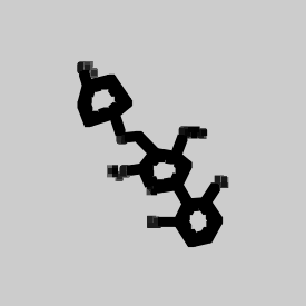 CCc1cccc(CC)c1-c1cc(OC)c(COc2ccc(C(F)(F)F)cc2)c(C)n1